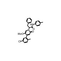 COc1cn(C(Cc2ccccc2)C(=O)Nc2ccc(C)cc2)c(=O)cc1-c1cc(Cl)ccc1C